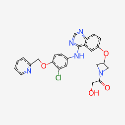 O=C(CO)N1CC(Oc2ccc3ncnc(Nc4ccc(OCc5ccccn5)c(Cl)c4)c3c2)C1